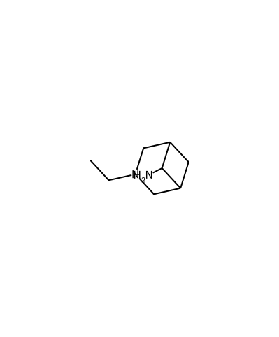 CCN1CC2CC(C1)C2N